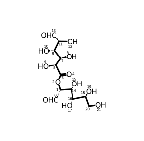 O=C[C@H](OC(=O)[C@@H](O)[C@H](O)[C@H](O)[C@@H](O)C=O)[C@@H](O)[C@@H](O)[C@H](O)CO